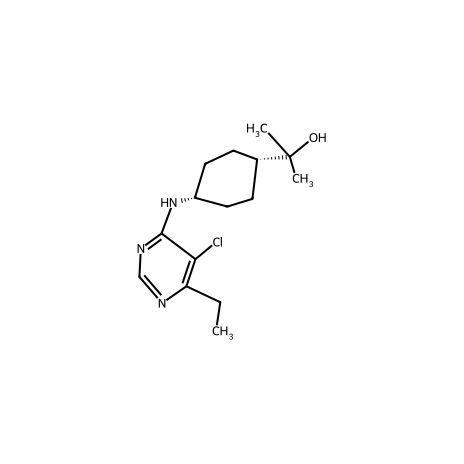 CCc1ncnc(N[C@H]2CC[C@@H](C(C)(C)O)CC2)c1Cl